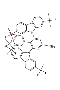 N#Cc1cc(-n2c3cc(C(F)(F)F)ccc3c3ccc(C(F)(F)F)cc32)c(-c2cc3c(c(C(F)(F)F)c2)C3)c(-n2c3cc(C(F)(F)F)ccc3c3ccc(C(F)(F)F)cc32)c1